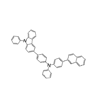 c1ccc(N(c2ccc(-c3ccc4ccccc4c3)cc2)c2ccc(-c3ccc4c(c3)c3ccccc3n4-c3ccccc3)cc2)cc1